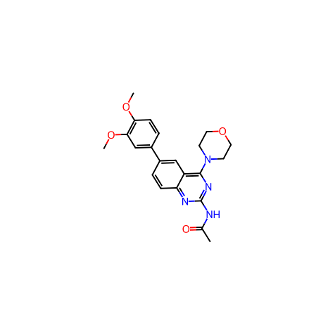 COc1ccc(-c2ccc3nc(NC(C)=O)nc(N4CCOCC4)c3c2)cc1OC